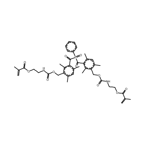 C=C(C)C(=O)OCCNC(=O)OCc1c(C)cc(C)c(C(=O)P(=O)(C(=O)c2c(C)cc(C)c(COC(=O)NCCOC(=O)C(=C)C)c2C)c2ccccc2)c1C